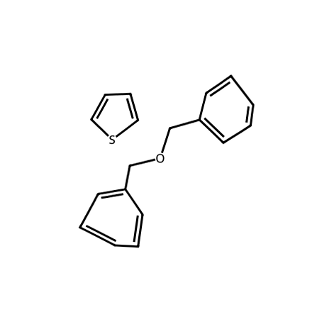 c1ccc(COCc2ccccc2)cc1.c1ccsc1